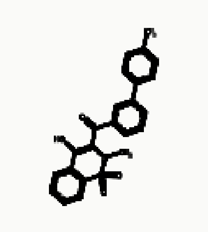 CN1C(C(=O)c2cccc(-c3ccc(C(F)(F)F)cc3)c2)=C(O)c2ccccc2S1(=O)=O